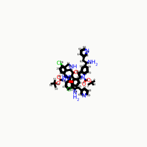 CC(C)(C)OC(=O)n1c(-c2ccc(Cl)c3c2C(C(=O)C2NCc4c(Cl)ccc(-c5cc6cc(C(N)Cc7cccnc7)ccc6n5C(=O)OC(C)(C)C)c42)NC3)cc2cc(C(N)Cc3cccnc3)ccc21